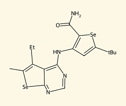 CCc1c(C)[se]c2ncnc(Nc3cc(C(C)(C)C)[se]c3C(N)=O)c12